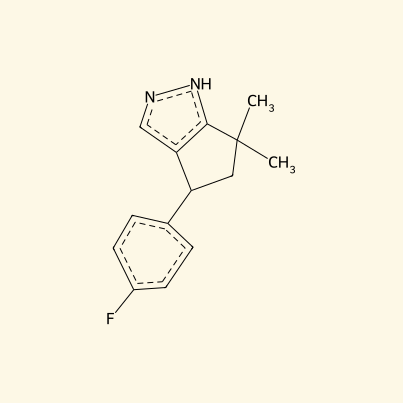 CC1(C)CC(c2ccc(F)cc2)c2cn[nH]c21